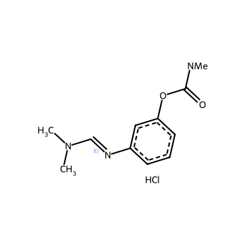 CNC(=O)Oc1cccc(/N=C/N(C)C)c1.Cl